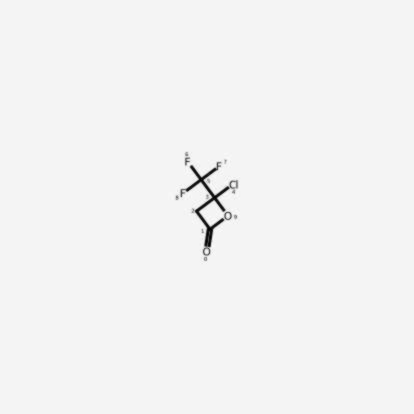 O=C1CC(Cl)(C(F)(F)F)O1